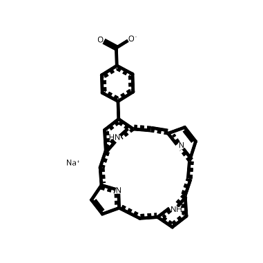 O=C([O-])c1ccc(-c2cc3cc4nc(cc5ccc(cc6nc(cc2[nH]3)C=C6)[nH]5)C=C4)cc1.[Na+]